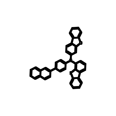 c1ccc2cc(-c3ccc(N(c4ccc5c(c4)oc4ccccc45)c4cccc5c4sc4ccccc45)cc3)ccc2c1